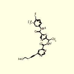 CC(NC(=O)c1cc(C#CCCO)ncn1)c1ncc(C(=O)Nc2ccc(F)c(C(F)(F)F)c2)s1